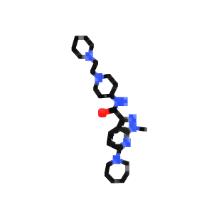 Cn1nc(C(=O)NC2CCN(CCN3CCCCC3)CC2)c2ccc(N3CCCCCC3)nc21